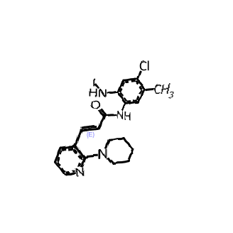 Cc1cc(NC(=O)/C=C/c2cccnc2N2CCCCC2)c(NI)cc1Cl